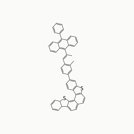 C/C(=C\c1ccc(-c2ccc3c(c2)sc2ccc4ccc5c(c4c23)SC2C=CC=CC52)cc1C)c1c2ccccc2c(-c2ccccc2)c2ccccc12